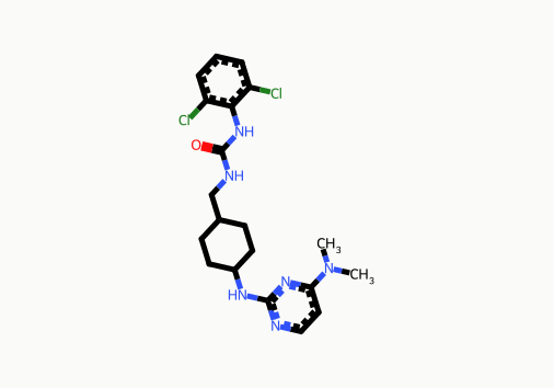 CN(C)c1ccnc(NC2CCC(CNC(=O)Nc3c(Cl)cccc3Cl)CC2)n1